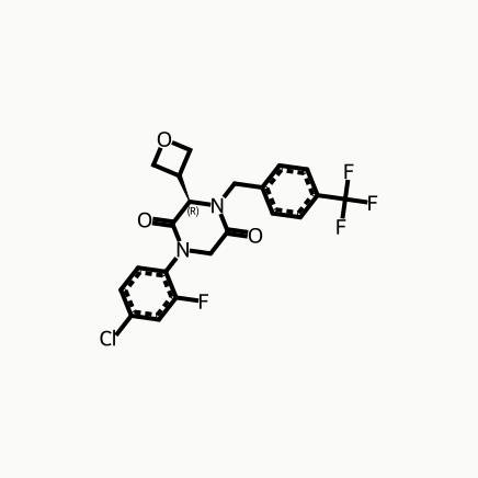 O=C1[C@@H](C2COC2)N(Cc2ccc(C(F)(F)F)cc2)C(=O)CN1c1ccc(Cl)cc1F